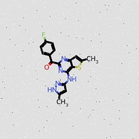 Cc1cc(Nc2nc(C(=O)c3ccc(F)cc3)nc3cc(C)sc23)n[nH]1